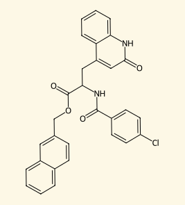 O=C(NC(Cc1cc(=O)[nH]c2ccccc12)C(=O)OCc1ccc2ccccc2c1)c1ccc(Cl)cc1